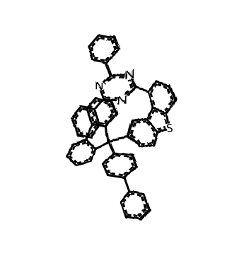 c1ccc(-c2ccc(C3(c4ccc5sc6cccc(-c7nc(-c8ccccc8)nc(-c8ccccc8)n7)c6c5c4)c4ccccc4-c4ccccc43)cc2)cc1